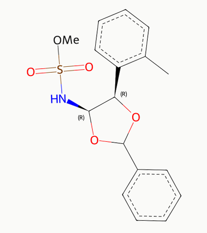 COS(=O)(=O)N[C@@H]1OC(c2ccccc2)O[C@@H]1c1ccccc1C